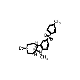 CCN1CC[C@@H]2[C@@H](CC1)c1cc(S(=O)(=O)c3ccc(C(F)(F)F)cc3)ccc1N2C